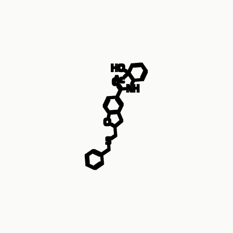 CC(=O)C1(O)C=CC=CC1NC(=O)c1ccc2c(c1)CC(CSCc1ccccc1)O2